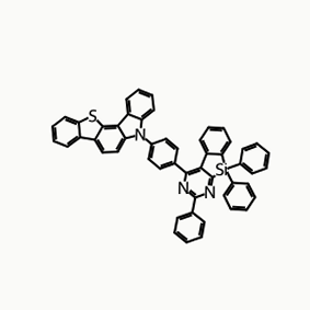 c1ccc(-c2nc(-c3ccc(-n4c5ccccc5c5c6sc7ccccc7c6ccc54)cc3)c3c(n2)[Si](c2ccccc2)(c2ccccc2)c2ccccc2-3)cc1